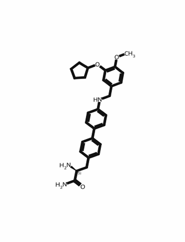 COc1ccc(CNc2ccc(-c3ccc(C[C@H](N)C(N)=O)cc3)cc2)cc1OC1CCCC1